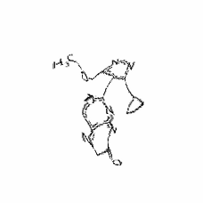 COc1ncnc(C2CC2)c1-c1ncc2c(n1)=NC(=O)CN=2